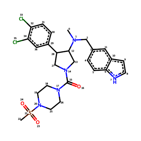 CN(Cc1ccc2[nH]ccc2c1)C1CN(C(=O)N2CCN(S(C)(=O)=O)CC2)CC1c1ccc(Cl)c(Cl)c1